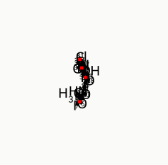 Cn1cc(C(=O)CF)cc1C(=O)NCCCCC(=O)N1CCC(O)(Cn2cnc3cc(Cl)ccc3c2=O)CC1